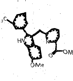 COC(=O)c1cccc(Cc2c(-c3cccc(C(F)(F)F)c3)[nH]c3cc(OC)ccc23)n1